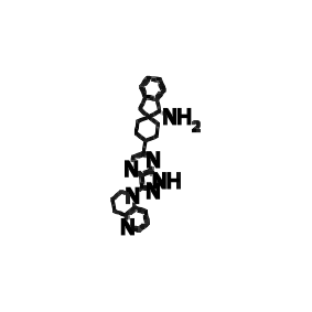 N[C@H]1c2ccccc2CC12CCC(c1cnc3c(N4CCCc5ncccc54)n[nH]c3n1)CC2